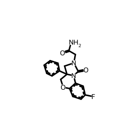 NC(=O)CN1CC2(c3ccccc3)COc3ccc(F)cc3N2C1=O